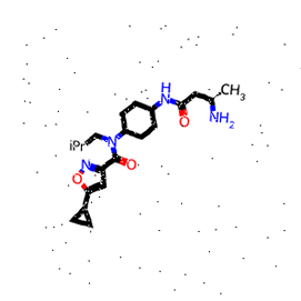 CC(C)CN(C(=O)c1cc(C2CC2)on1)C1CCC(NC(=O)C[C@H](C)N)CC1